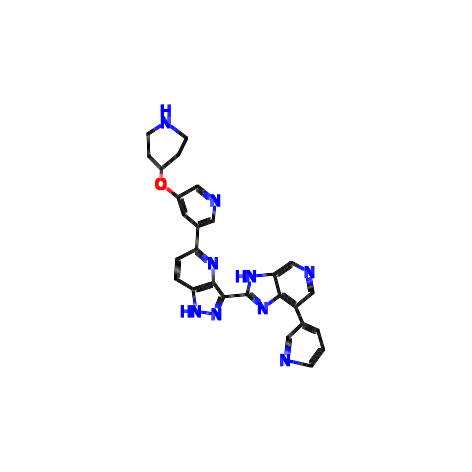 c1cncc(-c2cncc3[nH]c(-c4n[nH]c5ccc(-c6cncc(OC7CCNCC7)c6)nc45)nc23)c1